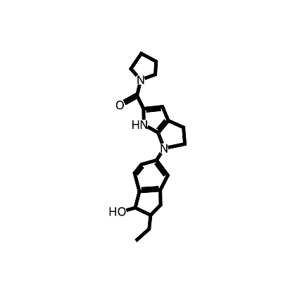 CCC1Cc2cc(N3CCc4cc(C(=O)N5CCCC5)[nH]c43)ccc2C1O